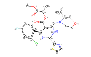 CC(C)OC(=O)[C@H](C)OC(=O)C1=C(CN2CCOC[C@H]2C(=O)O)NC(c2nccs2)=N[C@H]1c1ccc(F)cc1Cl